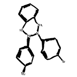 Brc1ccc(N2Bc3ccccc3BN2c2ccc(Br)cc2)cc1